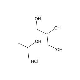 CC(C)O.Cl.OCC(O)CO